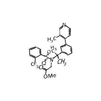 COC(=O)CN(C(C)(C)c1cccc(-c2ccncc2C)c1)S(=O)(=O)c1ccccc1C(F)(F)F